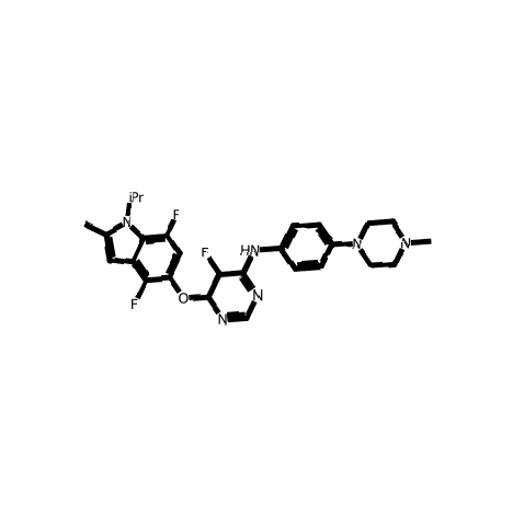 Cc1cc2c(F)c(OC3N=CN=C(Nc4ccc(N5CCN(C)CC5)cc4)C3F)cc(F)c2n1C(C)C